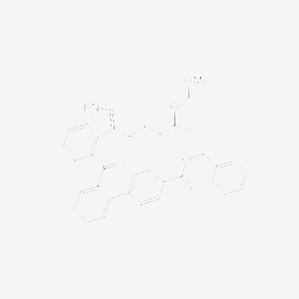 COCOC(=O)CCCc1c[nH]c2cccc(C(=O)c3ccccc3-c3ccc(C(=O)OCc4ccccc4)cc3)c12